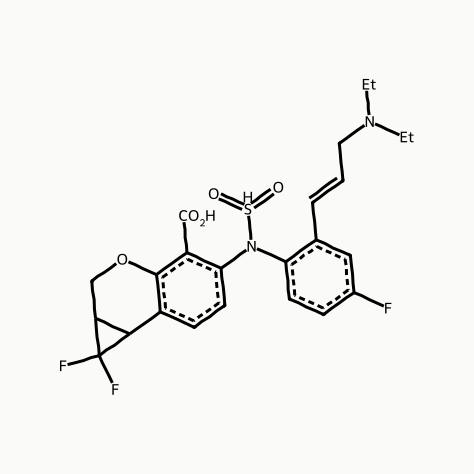 CCN(CC)CC=Cc1cc(F)ccc1N(c1ccc2c(c1C(=O)O)OCC1C2C1(F)F)[SH](=O)=O